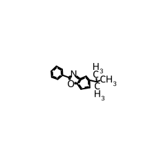 CC(C)(C)c1ccc2oc(-c3ccccc3)nc2c1